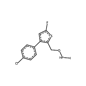 Fc1cc(-c2ccc(Cl)cc2)c(COPI)s1